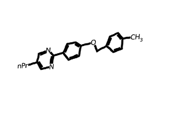 CCCc1cnc(-c2ccc(OCc3ccc(C)cc3)cc2)nc1